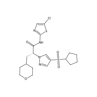 O=C(Nc1ncc(Cl)s1)[C@@H](CC1CCOCC1)n1cc(S(=O)(=O)C2CCCC2)cn1